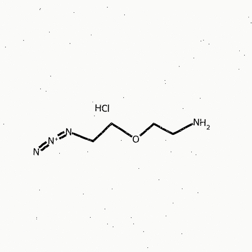 Cl.[N-]=[N+]=NCCOCCN